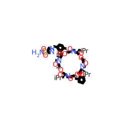 CC(C)C[C@H]1C(=O)O[C@H](Cc2ccc(Cn3cc(S(N)(=O)=O)cn3)cc2)C(=O)N(C)[C@@H](CC(C)C)C(=O)O[C@H](C)C(=O)N(C)[C@@H](CC(C)C)C(=O)O[C@H](Cc2ccccc2)C(=O)N(C)[C@@H](CC(C)C)C(=O)O[C@H](C)C(=O)N1C